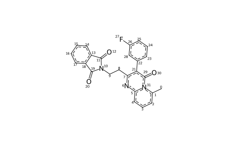 Cc1cccc2nc(CCN3C(=O)c4ccccc4C3=O)c(-c3cccc(F)c3)c(=O)n12